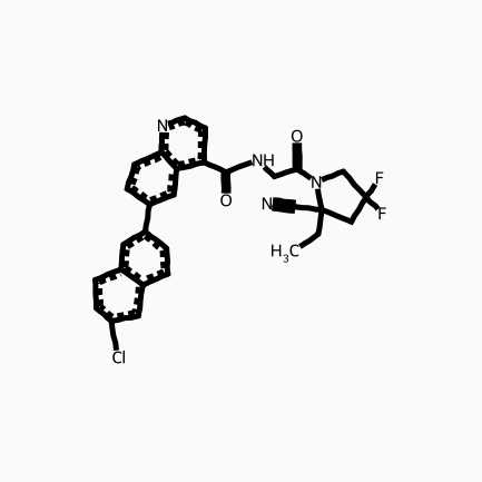 CCC1(C#N)CC(F)(F)CN1C(=O)CNC(=O)c1ccnc2ccc(-c3ccc4cc(Cl)ccc4c3)cc12